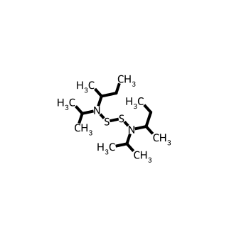 CCC(C)N(SSN(C(C)C)C(C)CC)C(C)C